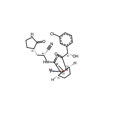 N#C[C@@H](C[C@@H]1CCNC1=O)NC(=O)[C@@H]1[C@@H]2CC[C@@H](CC2(F)F)N1C(=O)[C@@H](O)c1cccc(Cl)c1